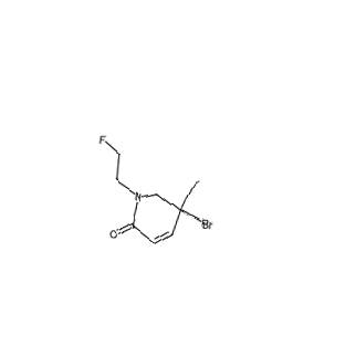 CC1(Br)C=CC(=O)N(CCF)C1